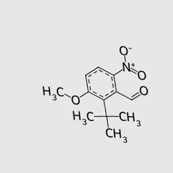 COc1ccc([N+](=O)[O-])c(C=O)c1C(C)(C)C